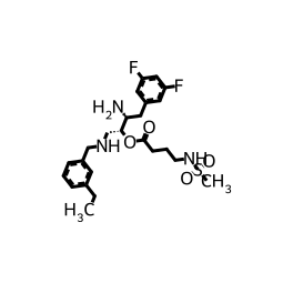 CCc1cccc(CNC[C@@H](OC(=O)CCCNS(C)(=O)=O)[C@@H](N)Cc2cc(F)cc(F)c2)c1